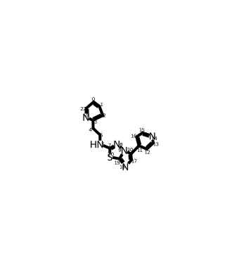 c1ccc(CCNc2nn3c(-c4ccncc4)cnc3s2)nc1